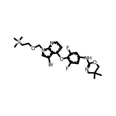 CC1(C)CN=C(Nc2cc(F)c(Oc3ccnc4c3c(Br)cn4COCC[Si](C)(C)C)c(F)c2)OC1